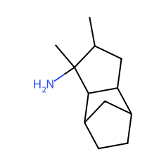 CC1CC2C3CCC(C3)C2C1(C)N